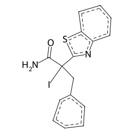 NC(=O)C(I)(Cc1ccccc1)c1nc2ccccc2s1